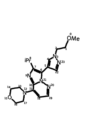 COCCn1cc(-c2c(C(C)C)nc3c(N4CCOCC4)ccnn23)cn1